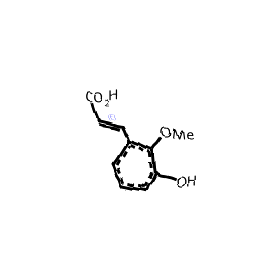 COc1c(O)cccc1/C=C/C(=O)O